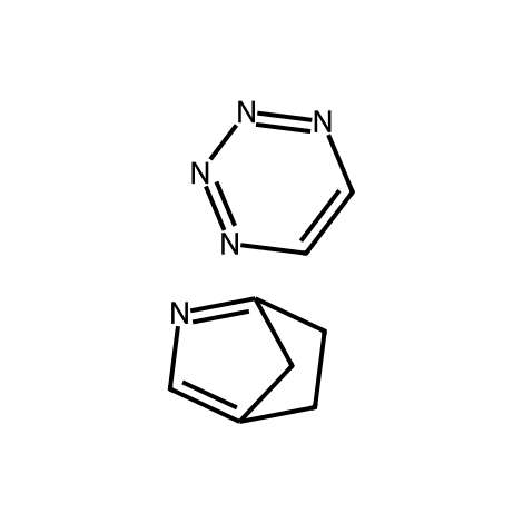 C1=C2CCC(=N1)C2.c1cnnnn1